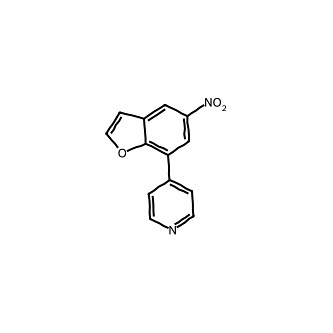 O=[N+]([O-])c1cc(-c2ccncc2)c2occc2c1